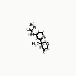 CC(C)(C)OC(=O)Nc1ccnc(C2(C)COCC(=S)N2)c1